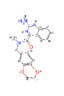 CN(Cc1ccc2c(c1)OCCO2)C(=O)c1nc(N)nc2ccccc12